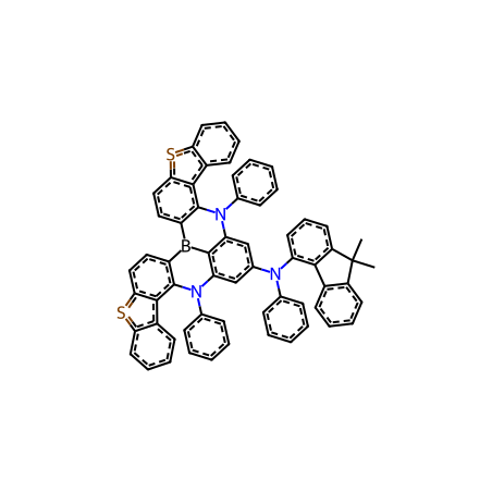 CC1(C)c2ccccc2-c2c(N(c3ccccc3)c3cc4c5c(c3)N(c3ccccc3)c3c(ccc6sc7ccccc7c36)B5c3ccc5sc6ccccc6c5c3N4c3ccccc3)cccc21